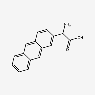 NC(C(=O)O)c1ccc2cc3ccccc3cc2c1